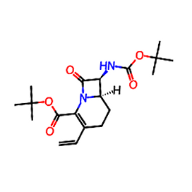 C=CC1=C(C(=O)OC(C)(C)C)N2C(=O)[C@@H](NC(=O)OC(C)(C)C)[C@H]2CC1